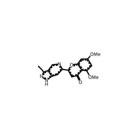 COc1cc(OC)c2c(=O)cc(-c3cc4[nH]nc(C)c4cn3)oc2c1